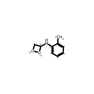 Cc1ccccc1NC1COO1